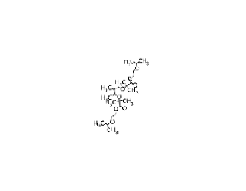 CC(C)OCCOC(=O)C(C)(C)OCC(C)C(C)OC(C)(C)C(=O)OCCOC(C)C